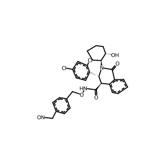 O=NCc1ccc(CONC(=O)[C@@H]2c3ccccc3C(=O)N([C@H]3CCCC[C@@H]3O)[C@H]2c2ccc(Cl)cc2Cl)cc1